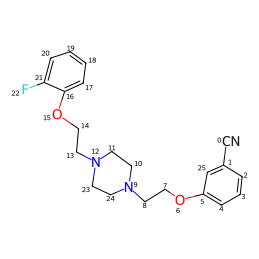 N#Cc1cccc(OCCN2CCN(CCOc3ccccc3F)CC2)c1